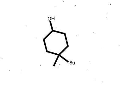 CCC(C)C1(C)CCC(O)CC1